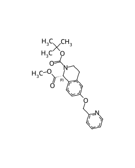 COC(=O)[C@H]1c2ccc(OCc3ccccn3)cc2CCN1C(=O)OC(C)(C)C